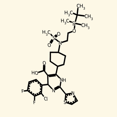 CC(C)(C)[Si](C)(C)OCCN(C1CCC(C2=C(C(=O)O)C(c3ccc(F)c(F)c3Cl)N=C(c3nccs3)N2)CC1)S(C)(=O)=O